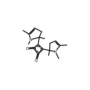 CC1=CCC(C)(c2c(C3(C)CC=C(C)N3C)c(=O)c2=O)N1C